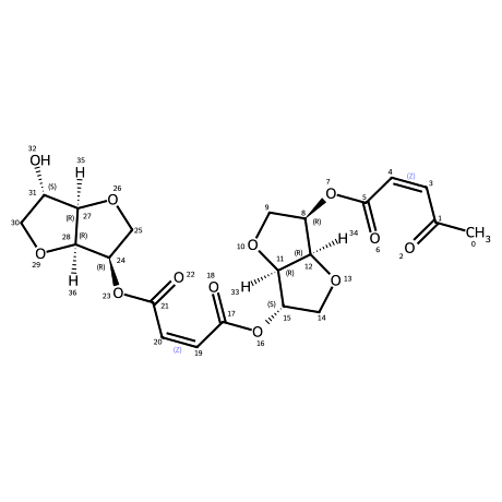 CC(=O)/C=C\C(=O)O[C@@H]1CO[C@H]2[C@@H]1OC[C@@H]2OC(=O)/C=C\C(=O)O[C@@H]1CO[C@H]2[C@@H]1OC[C@@H]2O